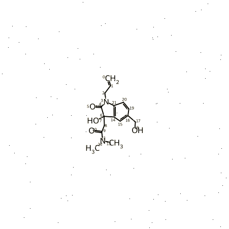 C=CCN1C(=O)C(O)(CC(=O)N(C)C)c2cc(CO)ccc21